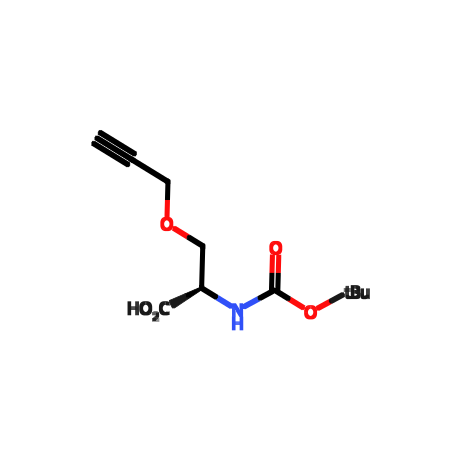 C#CCOC[C@@H](NC(=O)OC(C)(C)C)C(=O)O